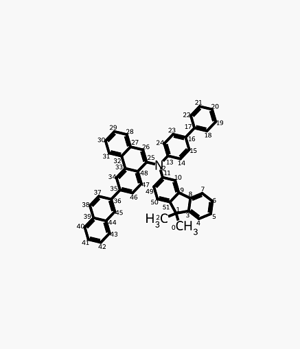 CC1(C)c2ccccc2-c2cc(N(c3ccc(-c4ccccc4)cc3)c3cc4ccccc4c4cc(-c5ccc6ccccc6c5)ccc34)ccc21